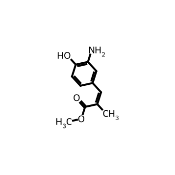 COC(=O)C(C)=Cc1ccc(O)c(N)c1